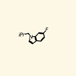 CC(C)Cn1ccc2ccc(F)cc21